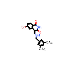 CC(=O)Oc1cc(CNC=C2C(=O)NC(=O)c3ccc(Br)cc32)cc(OC(C)=O)c1